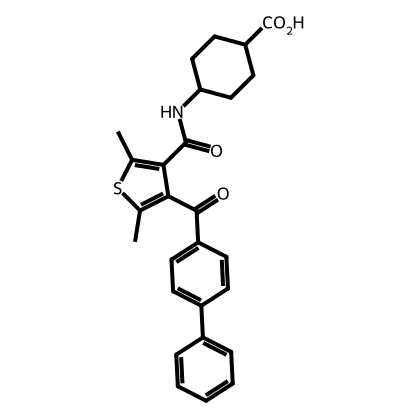 Cc1sc(C)c(C(=O)c2ccc(-c3ccccc3)cc2)c1C(=O)NC1CCC(C(=O)O)CC1